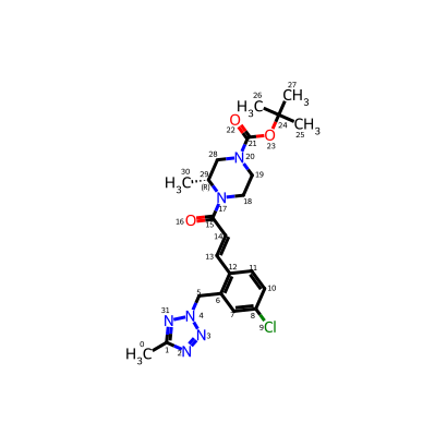 Cc1nnn(Cc2cc(Cl)ccc2C=CC(=O)N2CCN(C(=O)OC(C)(C)C)C[C@H]2C)n1